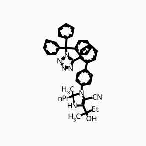 CCCC1(C)NC(C(C)(O)CC)=C(C#N)N1c1ccc(-c2ccccc2-c2nnnn2C(c2ccccc2)(c2ccccc2)c2ccccc2)cc1